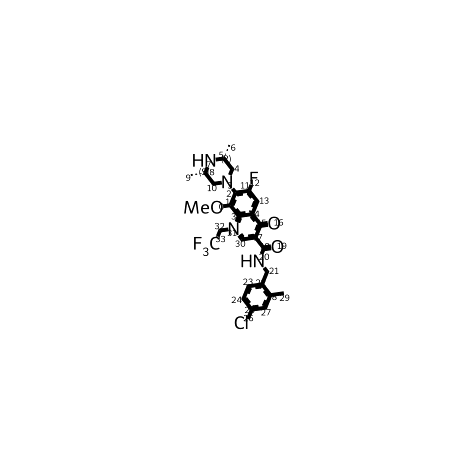 COc1c(N2C[C@@H](C)N[C@@H](C)C2)c(F)cc2c(=O)c(C(=O)NCc3ccc(Cl)cc3C)cn(CC(F)(F)F)c12